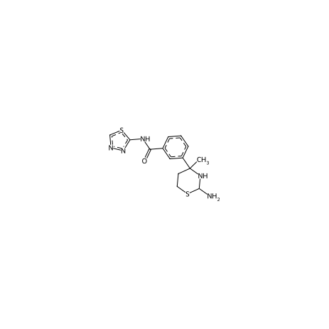 CC1(c2cccc(C(=O)Nc3nncs3)c2)CCSC(N)N1